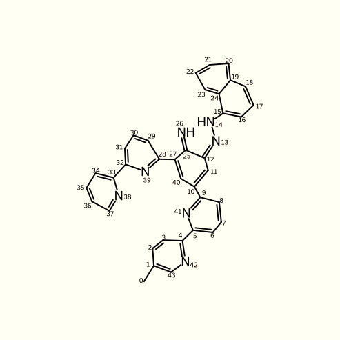 Cc1ccc(-c2cccc(C3=C/C(=N/Nc4cccc5ccccc45)C(=N)C(c4cccc(-c5ccccn5)n4)=C3)n2)nc1